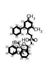 Cc1cc(C)c(CCP(=O)(O)C[C@H](CC(=O)O)O[Si](c2ccccc2)(c2ccccc2)C(C)(C)C)c(-c2ccccc2)c1